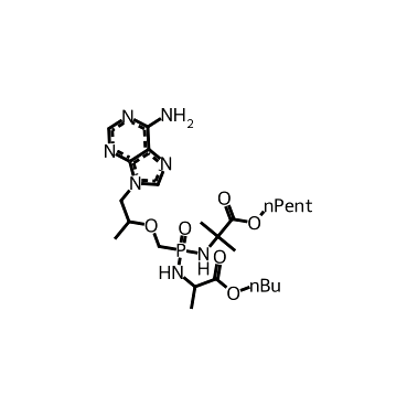 CCCCCOC(=O)C(C)(C)NP(=O)(COC(C)Cn1cnc2c(N)ncnc21)NC(C)C(=O)OCCCC